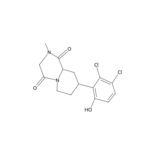 CN1CC(=O)N2CCC(c3c(O)ccc(Cl)c3Cl)CC2C1=O